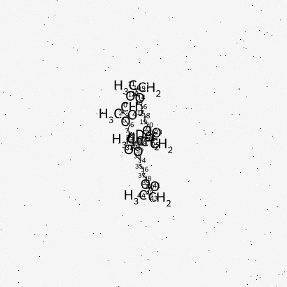 C=C(C)C(=O)OCCCCCCCCCCCC.C=C(C)C(=O)OCCCCCCOC(=O)C(=C)C.C=C(C)C(=O)OCCCCCCOC(=O)C(=C)C